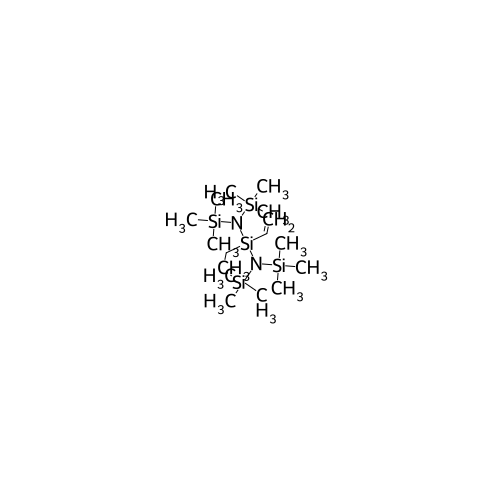 C=C[Si](CC)(N([Si](C)(C)C)[Si](C)(C)C)N([Si](C)(C)C)[Si](C)(C)C